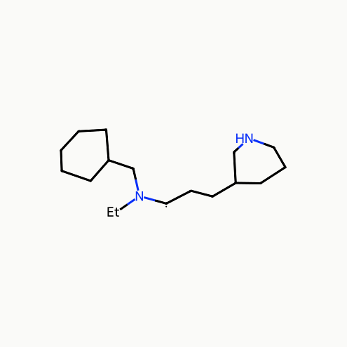 CCN([CH]CCC1CCCNC1)CC1CCCCC1